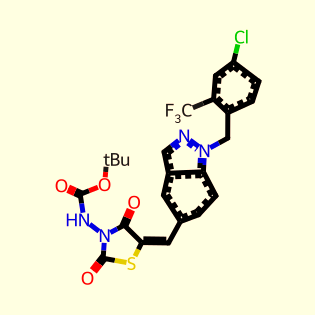 CC(C)(C)OC(=O)NN1C(=O)SC(=Cc2ccc3c(cnn3Cc3ccc(Cl)cc3C(F)(F)F)c2)C1=O